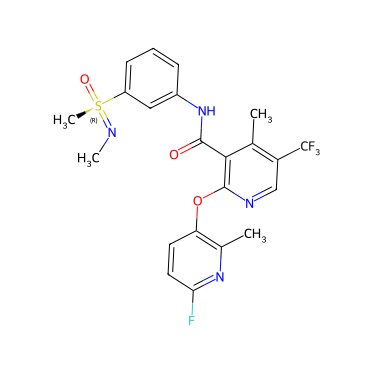 CN=[S@](C)(=O)c1cccc(NC(=O)c2c(Oc3ccc(F)nc3C)ncc(C(F)(F)F)c2C)c1